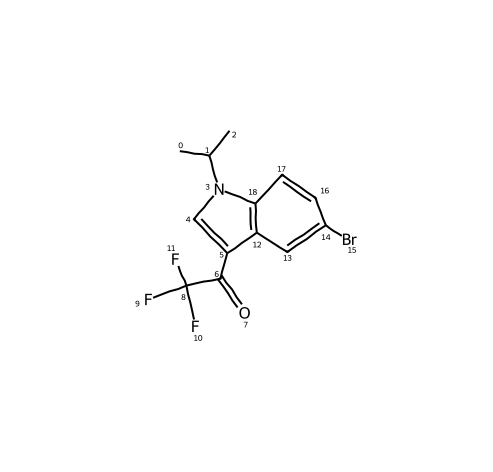 CC(C)n1cc(C(=O)C(F)(F)F)c2cc(Br)ccc21